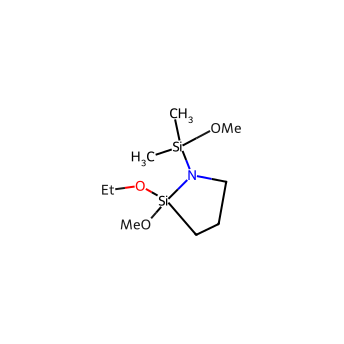 CCO[Si]1(OC)CCCN1[Si](C)(C)OC